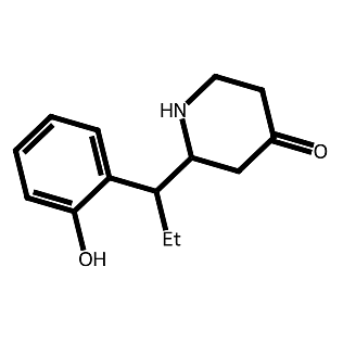 CCC(c1ccccc1O)C1CC(=O)CCN1